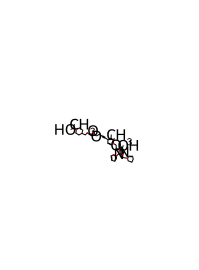 Cc1cc(OCc2c(O)nc(CC3C=CCCC3)n2-c2ccccc2)ccc1C#CCOC(=O)CCCC1CCC(C(C)O)CC1